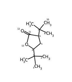 CC(C)(C)C1CC(C(C)(C)C)C(=O)O1